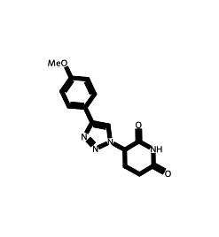 COc1ccc(-c2cn(C3CCC(=O)NC3=O)nn2)cc1